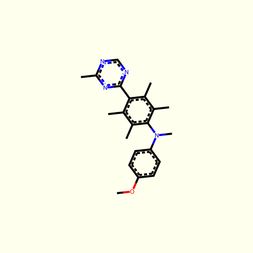 COc1ccc(N(C)c2c(C)c(C)c(-c3ncnc(C)n3)c(C)c2C)cc1